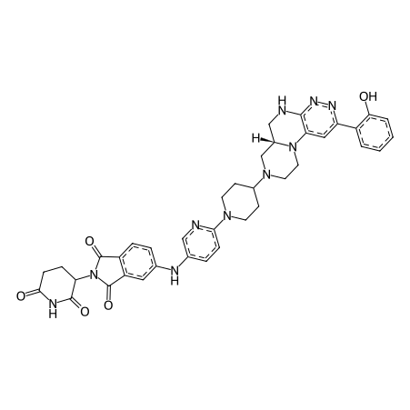 O=C1CCC(N2C(=O)c3ccc(Nc4ccc(N5CCC(N6CCN7c8cc(-c9ccccc9O)nnc8NC[C@H]7C6)CC5)nc4)cc3C2=O)C(=O)N1